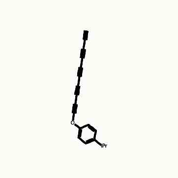 C#CC#CC#CC#CC#COc1ccc(C(C)C)cc1